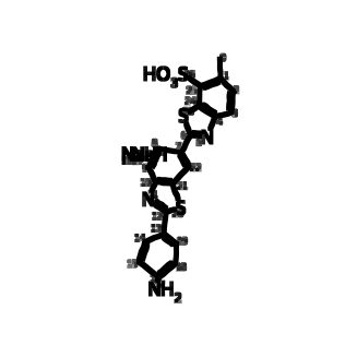 Cc1ccc2nc(-c3ccc4nc(-c5ccc(N)cc5)sc4c3)sc2c1S(=O)(=O)O.[NaH].[NaH]